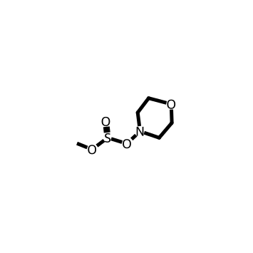 COS(=O)ON1CCOCC1